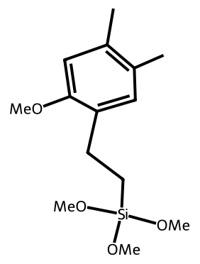 COc1cc(C)c(C)cc1CC[Si](OC)(OC)OC